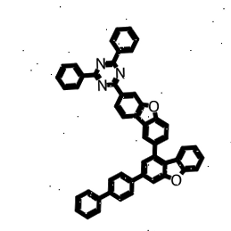 c1ccc(-c2ccc(-c3cc(-c4ccc5oc6cc(-c7nc(-c8ccccc8)nc(-c8ccccc8)n7)ccc6c5c4)c4c(c3)oc3ccccc34)cc2)cc1